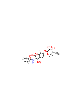 COCC1CC1C(=O)Nc1c(O)c2ccc(O[C@@H]3OC(C)(C)[C@H](OC)[C@H](O)[C@H]3O)c(C)c2oc1=O